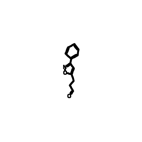 O=CCCc1cc(-c2ccccc2)no1